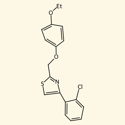 CCOc1ccc(OCc2nc(-c3ccccc3Cl)cs2)cc1